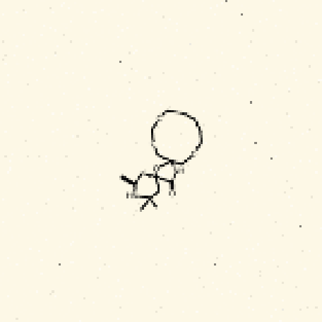 C=C1CC2(CC(C)(C)N1)OC1(CCCCCCCCCCC1)NC2=O